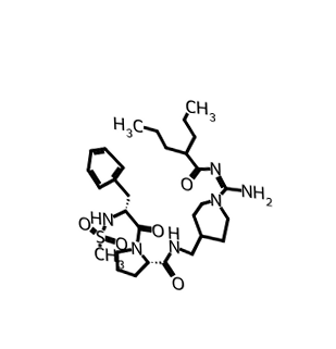 CCCC(CCC)C(=O)/N=C(/N)N1CCC(CNC(=O)[C@@H]2CCCN2C(=O)[C@@H](Cc2ccccc2)NS(C)(=O)=O)CC1